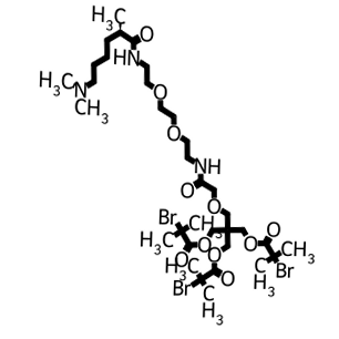 C[C@@H](CCCCN(C)C)C(=O)NCCOCCOCCNC(=O)COCC(COC(=O)C(C)(C)Br)(COC(=O)C(C)(C)Br)COC(=O)C(C)(C)Br